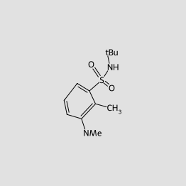 CNc1cccc(S(=O)(=O)NC(C)(C)C)c1C